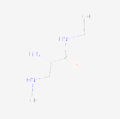 CCNC(=O)C(N)CNC